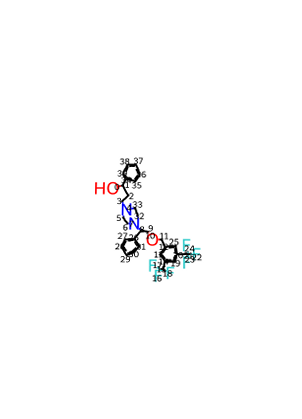 OC(CCN1CCN(C(COCc2cc(C(F)(F)F)cc(C(F)(F)F)c2)c2ccccc2)CC1)c1ccccc1